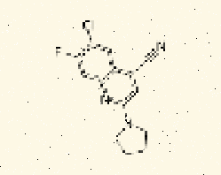 N#Cc1cc(N2CCCC2)nc2cc(F)c(Cl)cc12